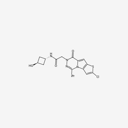 CC(C)c1nn(CC(=O)N[C@H]2C[C@H](O)C2)c(=O)c2cc3sc(Cl)cc3n12